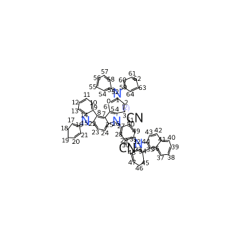 C=C(/C=C\c1c(C)c2c3c4ccccc4n(C4=CCCC=C4)c3ccc2n1-c1cc(C#N)c(-n2c3c(c4c5ccccc5ccc42)CCC=C3)cc1C#N)N(c1ccccc1)c1ccccc1